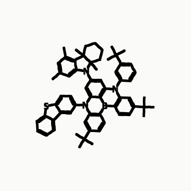 Cc1cc(C)c2c(c1)N(c1cc3c4c(c1)N(c1ccc5sc6ccccc6c5c1)c1cc(C(C)(C)C)ccc1B4c1ccc(C(C)(C)C)cc1N3c1cccc(C(C)(C)C)c1)C1(C)CCCCC21C